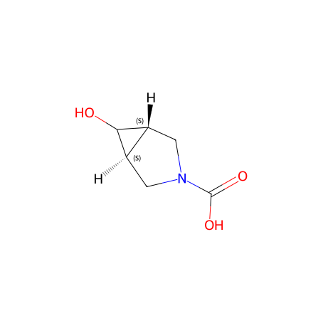 O=C(O)N1C[C@H]2C(O)[C@@H]2C1